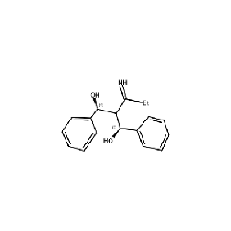 CCC(=N)C([C@H](O)c1ccccc1)[C@H](O)c1ccccc1